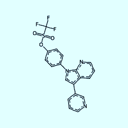 O=S(=O)(Oc1ccc(-n2cc(-c3cccnc3)c3cccnc32)cc1)C(F)(F)F